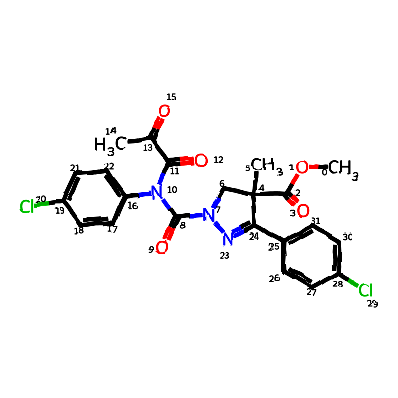 COC(=O)C1(C)CN(C(=O)N(C(=O)C(C)=O)c2ccc(Cl)cc2)N=C1c1ccc(Cl)cc1